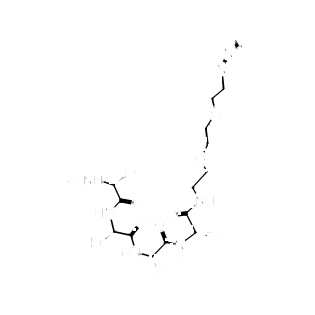 CC[C@H](NC(C)=O)C(=O)N[C@H](CC)C(=O)N[C@@H](CC)C(=O)N[C@@H](CC)C(=O)NCCOCCOCCN=[N+]=[N-]